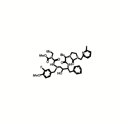 CCC(C)C(C(=O)NC(Cc1ccccc1)C(O)CN(Cc1ccc(OC)c(F)c1)NC(=O)N(CC(C)(C)C)C(=O)OC)N1CCN(Cc2cccc(C)n2)C1=O